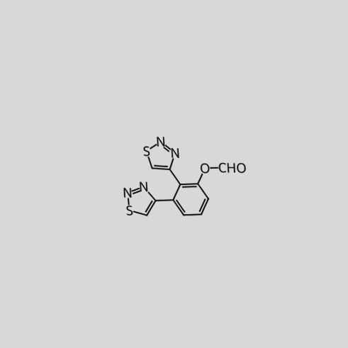 O=COc1cccc(-c2csnn2)c1-c1csnn1